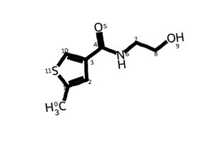 Cc1cc(C(=O)NCCO)cs1